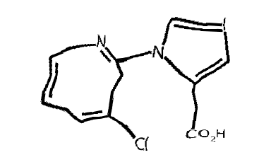 O=C(O)C1=CI=CN1c1ncccc1Cl